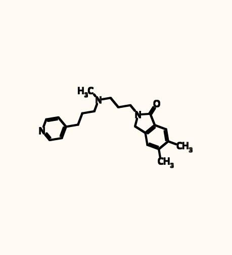 Cc1cc2c(cc1C)C(=O)N(CCCN(C)CCCc1ccncc1)C2